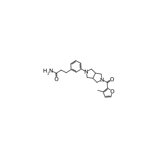 Cc1ccoc1C(=O)N1CC2CN(c3cccc(CCC(N)=O)c3)CC2C1